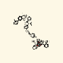 Cc1nccn1-c1ccc([C@H](C)NC(=O)[C@@H]2CCCN2C(=O)[C@@H](c2cc(OCCN3CCN(CCOc4cc(N5C6CCC5CN(c5cc(-c7ccccc7O)nnc5N)C6)ccn4)CC3)no2)C(C)C)cc1